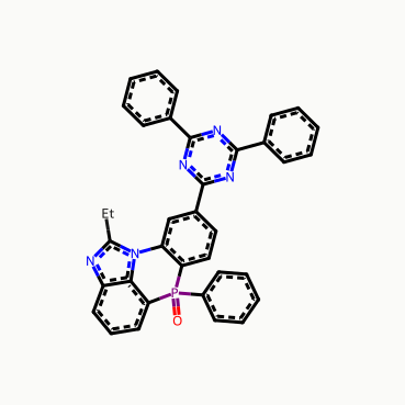 CCc1nc2cccc3c2n1-c1cc(-c2nc(-c4ccccc4)nc(-c4ccccc4)n2)ccc1P3(=O)c1ccccc1